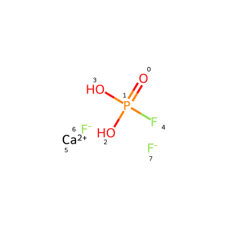 O=P(O)(O)F.[Ca+2].[F-].[F-]